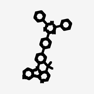 CC1(C)c2cc(-c3ccc(-c4nc(-c5ccccc5)nc(-c5ccccc5)n4)cc3)ccc2-n2c3ccncc3c3nccc1c32